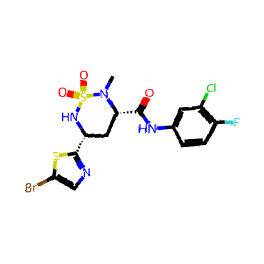 CN1[C@H](C(=O)Nc2ccc(F)c(Cl)c2)C[C@H](c2ncc(Br)s2)NS1(=O)=O